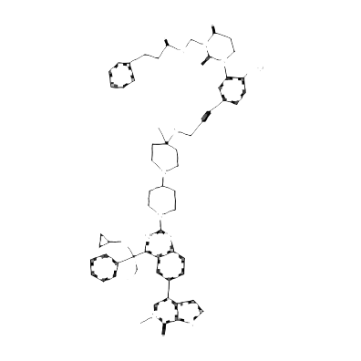 COc1ccc(C#CCNC2(C)CCN(C3CCN(c4nc([C@@](CO)(OC5CC5)c5ccccc5)c5cc(-c6cn(C)c(=O)c7[nH]ccc67)ccc5n4)CC3)CC2)cc1N1CCC(=O)N(CNC(=O)CCc2ccccc2)C1=O